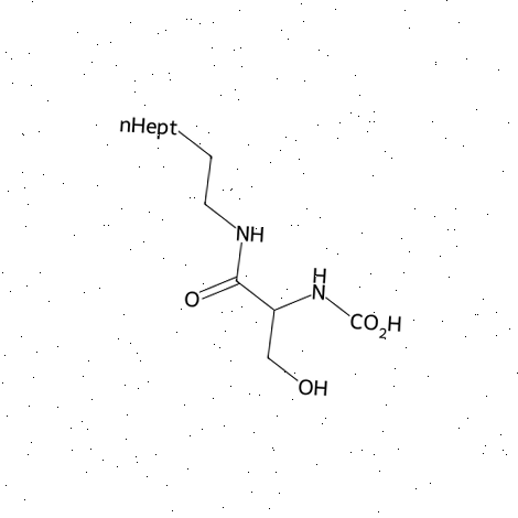 CCCCCCCCCNC(=O)C(CO)NC(=O)O